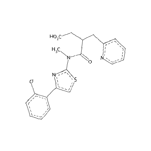 CN(C(=O)C(CC(=O)O)Cc1ccccn1)c1nc(-c2ccccc2Cl)cs1